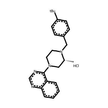 C[C@@H]1CN(c2ncnc3ccccc23)CCN1Cc1ccc(C(C)(C)C)cc1.Cl